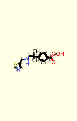 CC(C)(CNCc1cncs1)c1ccc(C(=O)OO)cc1